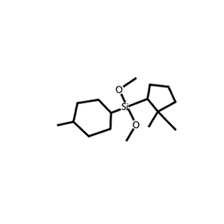 CO[Si](OC)(C1CCC(C)CC1)C1CCCC1(C)C